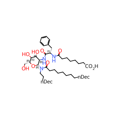 CCCCCCCCCCCCCCCCCC(=O)N(CCCCCCCCCCCC)[C@@H]1O[C@H](CO)[C@@H](O)[C@H](O)[C@H]1NC(=O)[C@H](Cc1ccccc1)NC(=O)CCCCCCC(=O)O